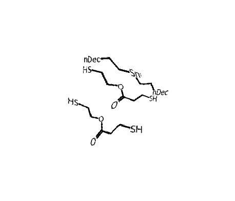 CCCCCCCCCCC[CH2][Sn][CH2]CCCCCCCCCCC.O=C(CCS)OCCS.O=C(CCS)OCCS